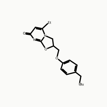 CCc1cc(=O)nc2n1CC(COc1ccc(CC(C)(C)C)cc1)O2